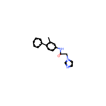 Cc1cc(NC(=O)Cn2ccnc2)ccc1-c1ccccc1